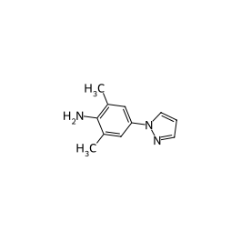 Cc1cc(-n2cccn2)cc(C)c1N